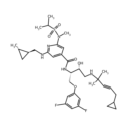 CC(C)S(=O)(=O)N(C)c1cc(C(=O)N[C@@H](COc2cc(F)cc(F)c2)[C@H](O)CNC(C)(C)C#CCC2CC2)cc(NC[C@H]2C[C@@H]2C)n1